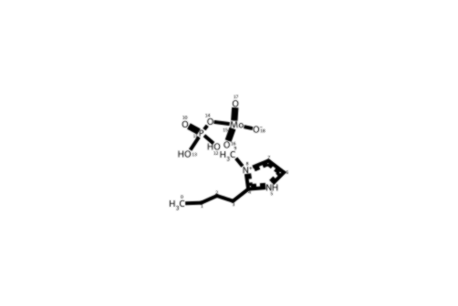 CCCCc1[nH]cc[n+]1C.O=P(O)(O)[O][Mo](=[O])(=[O])[O-]